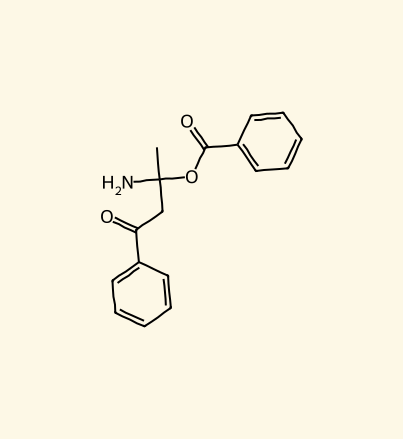 CC(N)(CC(=O)c1ccccc1)OC(=O)c1ccccc1